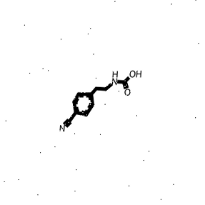 N#Cc1ccc(CCNC(=O)O)cc1